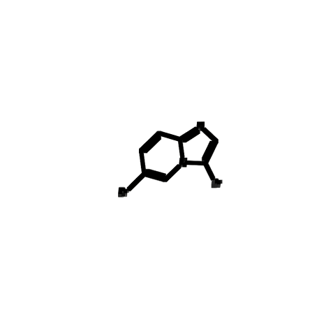 Brc1ccc2ncc(Br)n2c1